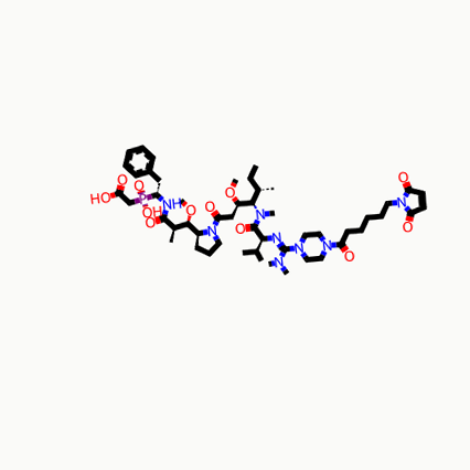 CC[C@H](C)[C@@H]([C@@H](CC(=O)N1CCC[C@H]1[C@H](OC)[C@@H](C)C(=O)N[C@@H](Cc1ccccc1)P(=O)(O)CC(=O)O)OC)N(C)C(=O)[C@@H](N=C(N(C)C)N1CCN(C(=O)CCCCCN2C(=O)C=CC2=O)CC1)C(C)C